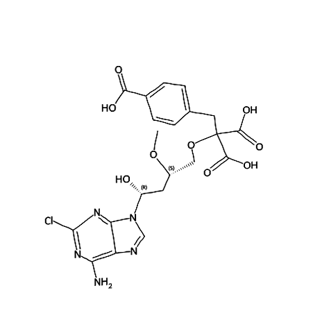 CO[C@H](COC(Cc1ccc(C(=O)O)cc1)(C(=O)O)C(=O)O)C[C@@H](O)n1cnc2c(N)nc(Cl)nc21